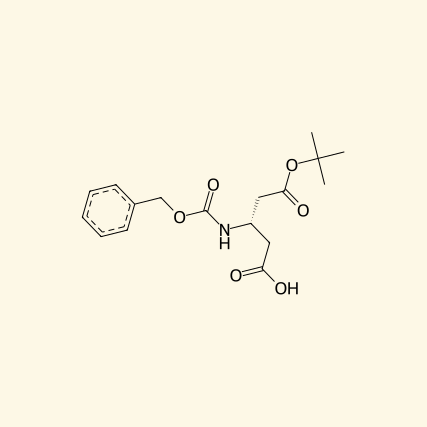 CC(C)(C)OC(=O)C[C@H](CC(=O)O)NC(=O)OCc1ccccc1